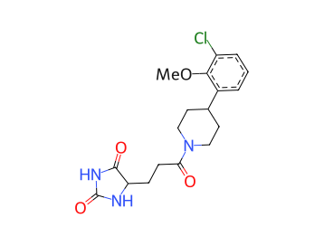 COc1c(Cl)cccc1C1CCN(C(=O)CCC2NC(=O)NC2=O)CC1